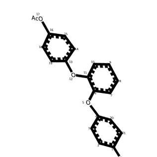 CC(=O)Oc1ccc(Oc2ccccc2Oc2ccc(OC(C)=O)cc2)cc1